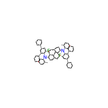 Cc1ccccc1N(c1c(F)cc(-c2ccccc2)cc1-c1ccccc1)c1ccc2ccc3c(N(c4ccccc4C)c4c(F)cc(-c5ccccc5)cc4-c4ccccc4)ccc4ccc1c2c43